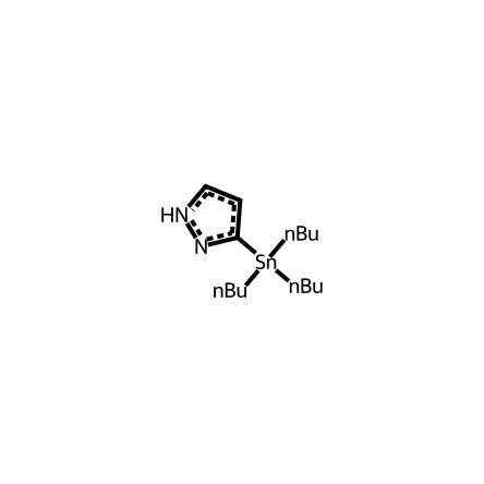 CCC[CH2][Sn]([CH2]CCC)([CH2]CCC)[c]1cc[nH]n1